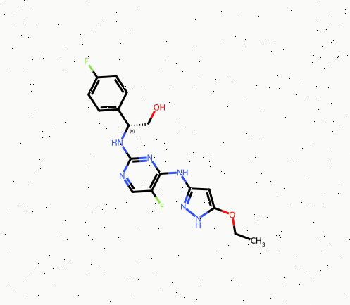 CCOc1cc(Nc2nc(N[C@@H](CO)c3ccc(F)cc3)ncc2F)n[nH]1